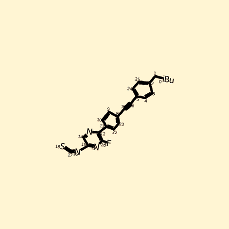 CCC(C)Cc1ccc(C#Cc2ccc(-c3ncc(N=C=S)nc3F)cc2)cc1